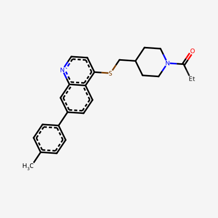 CCC(=O)N1CCC(CSc2ccnc3cc(-c4ccc(C)cc4)ccc23)CC1